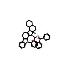 CC12CCC3CCCCC3C1C1=C(c3c(c4ccccc4n3-c3ccccc3)CC1)N2C1N=C(c2ccccc2)c2ccccc2N1